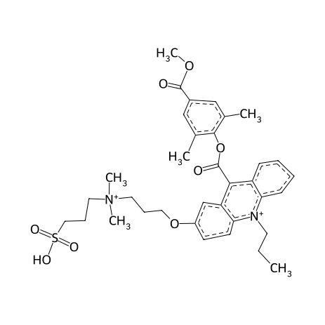 CCC[n+]1c2ccccc2c(C(=O)Oc2c(C)cc(C(=O)OC)cc2C)c2cc(OCCC[N+](C)(C)CCCS(=O)(=O)O)ccc21